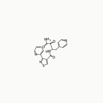 NC(=O)C(=O)C(Cc1ccncc1)NC(=O)c1csnc1-c1ccccn1